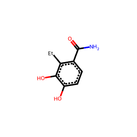 CCc1c(C(N)=O)ccc(O)c1O